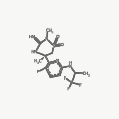 CC(Nc1ccc(F)c([C@]2(C)CS(=O)(=O)N(C)C(=N)N2)n1)C(F)(F)F